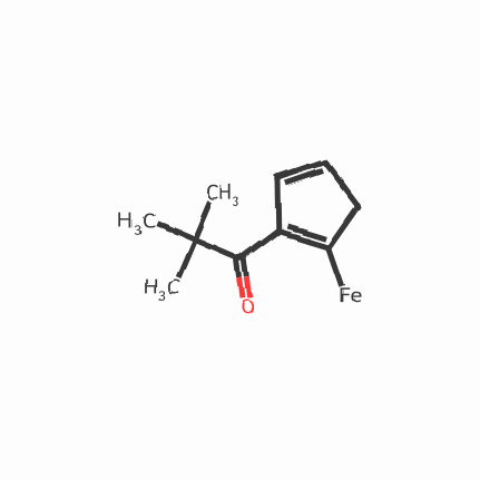 CC(C)(C)C(=O)C1=[C]([Fe])CC=C1